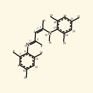 C/C(=C/C(C)=N/c1c(C)cc(C)cc1C)N(C)c1c(C)cc(C)cc1C